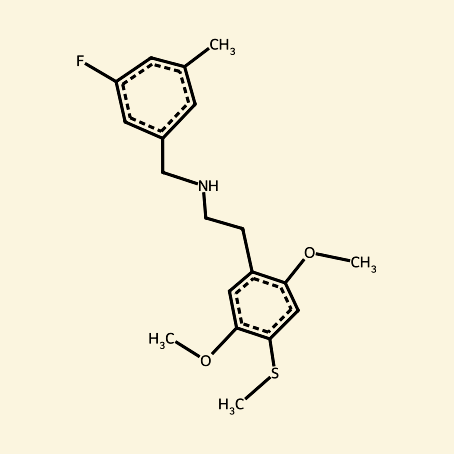 COc1cc(SC)c(OC)cc1CCNCc1cc(C)cc(F)c1